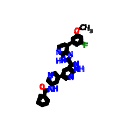 COc1cc(F)cc(-c2ccnc3[nH]c(-c4n[nH]c5ncc(-c6cncc(NC(=O)c7ccccc7)c6)cc45)nc23)c1